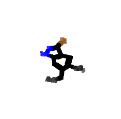 CC(=O)OCc1cc2[nH]nc(Br)c2cc1[N+](=O)[O-]